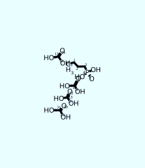 CCCCP(=O)(O)O.O=C(O)O.O=C(O)O.O=C(O)O.O=C(O)O